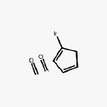 [C]=O.[C]=O.[Ir][C]1=CC=CC1